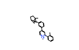 Cc1ccccc1-c1cc(-c2cccc(C3CC4CCC3(C)C4(C)C)c2)cc[n+]1C